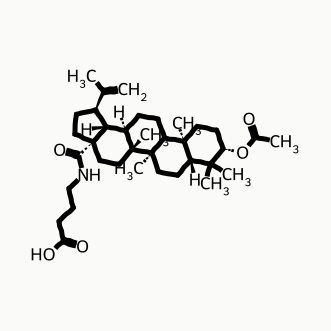 C=C(C)[C@@H]1CC[C@]2(C(=O)NCCCC(=O)O)CC[C@]3(C)[C@H](CCC4[C@@]5(C)CC[C@H](OC(C)=O)C(C)(C)[C@@H]5CC[C@]43C)[C@@H]12